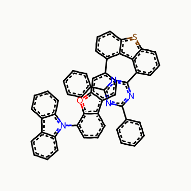 c1ccc(-c2nc(-c3ccccc3)nc(-c3cccc4sc5cccc(-c6ccc7c(c6)oc6c(-n8c9ccccc9c9ccccc98)cccc67)c5c34)n2)cc1